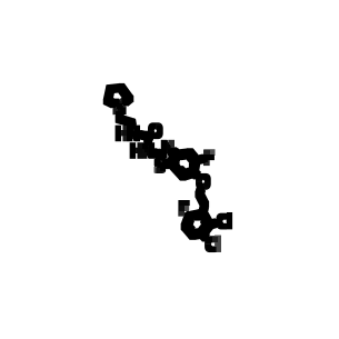 O=C(NCCN1CCCC1)Nc1nc2cc(F)c(OCCc3c(F)ccc(Cl)c3Cl)cc2s1